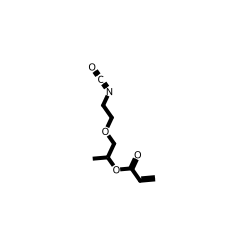 C=CC(=O)OC(C)COCCN=C=O